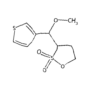 COC(c1ccsc1)C1CCOS1(=O)=O